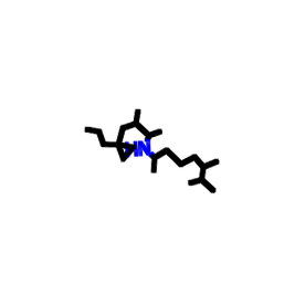 CCCC1(CC(C)C(C)NC(C)CCCC(C)C(C)C)CC1